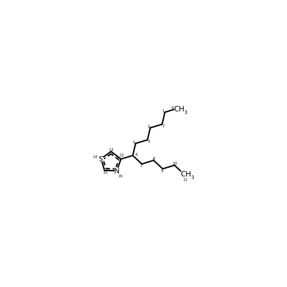 CCCCCCC(CCCCC)c1cscn1